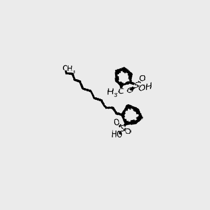 CCCCCCCCCCCCc1ccccc1S(=O)(=O)O.Cc1ccccc1S(=O)(=O)O